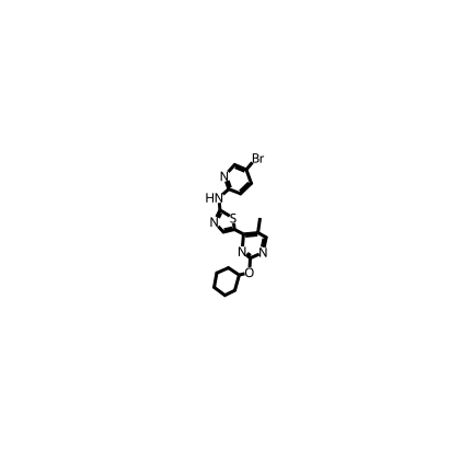 Cc1cnc(OC2CCCCC2)nc1-c1cnc(Nc2ccc(Br)cn2)s1